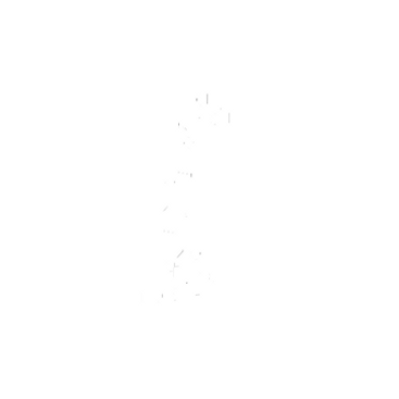 C=C(C)C(=O)OCC(=O)Oc1ccc(C(=O)OC(C(F)(F)F)C(F)(F)S(=O)(=O)O)cc1I